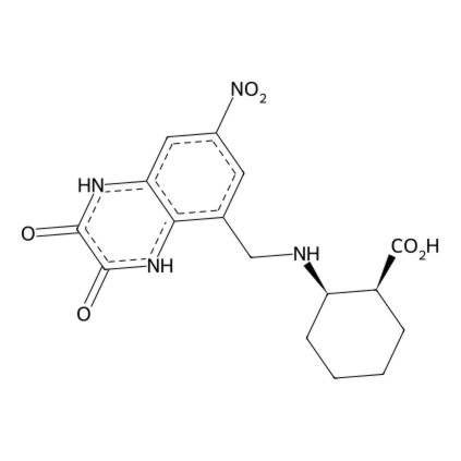 O=C(O)[C@H]1CCCC[C@H]1NCc1cc([N+](=O)[O-])cc2[nH]c(=O)c(=O)[nH]c12